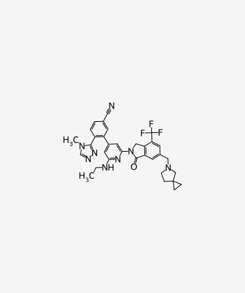 CCNc1cc(-c2cc(C#N)ccc2-c2nncn2C)cc(N2Cc3c(cc(CN4CCC5(CC5)C4)cc3C(F)(F)F)C2=O)n1